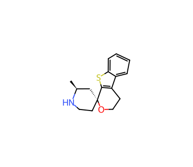 C[C@H]1C[C@@]2(CCN1)OCCc1c2sc2ccccc12